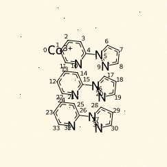 [Co+3].c1ccc(-n2cccn2)nc1.c1ccc(-n2cccn2)nc1.c1ccc(-n2cccn2)nc1